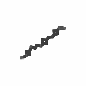 COC1CC(OCC2CC(OCCOC3CN(C(C)C)C3)C2)C1